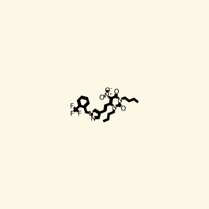 CCCCn1c(C=Cc2cnn(Cc3ccccc3C(F)(F)F)c2)c([N+](=O)[O-])c(=O)n(CCCC)c1=O